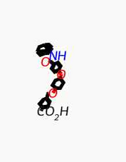 O=C(O)c1ccc(COC2CCC(Oc3ccc(C(=O)NC4C5CC6CC(C5)CC4C6)cc3)CC2)cc1